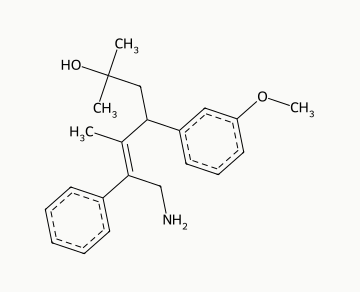 COc1cccc(C(CC(C)(C)O)C(C)=C(CN)c2ccccc2)c1